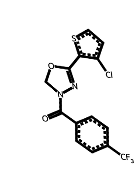 O=C(c1ccc(C(F)(F)F)cc1)N1COC(c2sccc2Cl)=N1